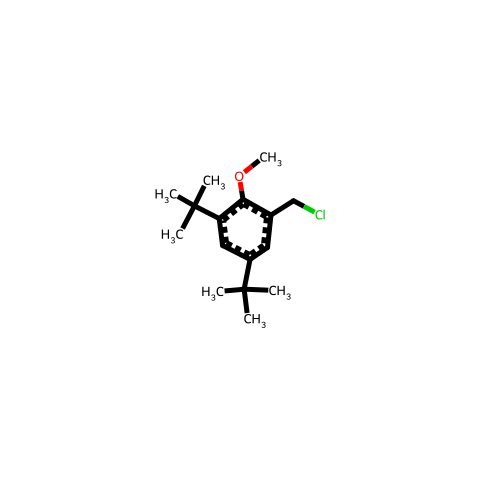 COc1c(CCl)cc(C(C)(C)C)cc1C(C)(C)C